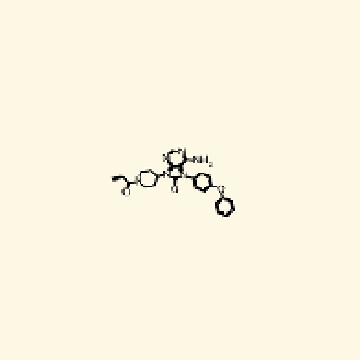 C=CC(=O)N1CCC(n2c(=O)n(-c3ccc(Oc4ccccc4)cc3)c3c(N)ncnc32)CC1